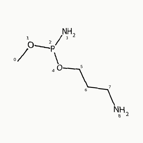 COP(N)OCCCN